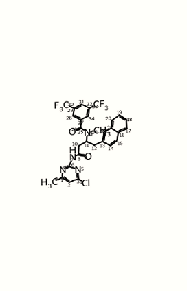 Cc1cc(Cl)nc(NC(=O)CC(Cc2ccc3ccccc3c2)N(C)C(=O)c2cc(C(F)(F)F)cc(C(F)(F)F)c2)n1